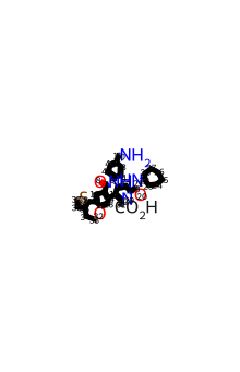 NCc1ccc(NC(=O)c2cc3c(cc2-c2ccc(C(=O)NC4CCCCCC4)nc2C(=O)O)OCCc2ccsc2-3)cc1